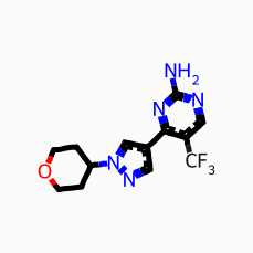 Nc1ncc(C(F)(F)F)c(-c2cnn(C3CCOCC3)c2)n1